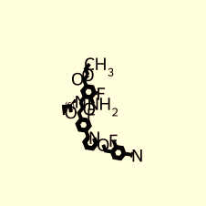 CCOC(=O)c1cc(F)c(N)c(N(C[C@@H]2CCO2)C(=O)Cc2ccc(-c3cccc(OCc4ccc(C#N)cc4F)n3)cc2F)c1